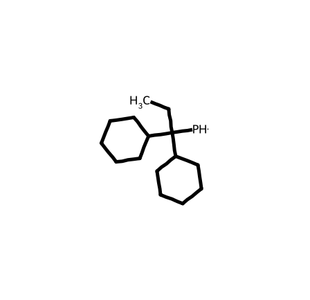 CCC([PH])(C1CCCCC1)C1CCCCC1